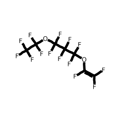 FC(F)=C(F)OC(F)(F)C(F)(F)C(F)(F)OC(F)(F)C(F)(F)F